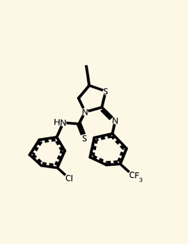 CC1CN(C(=S)Nc2cccc(Cl)c2)/C(=N\c2cccc(C(F)(F)F)c2)S1